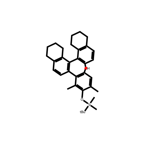 Cc1cc(C)c(-c2ccc3c(c2-c2c(O)ccc4c2CCCC4)CCCC3)c(C)c1O[Si](C)(C)C(C)(C)C